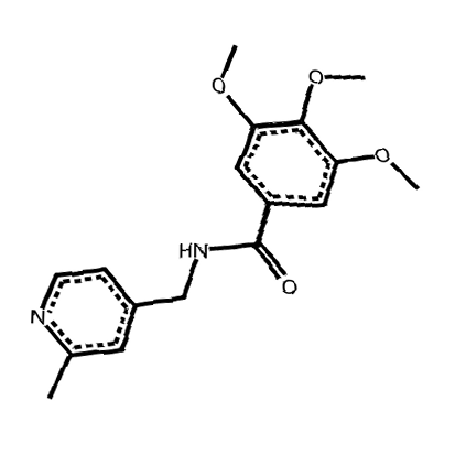 COc1cc(C(=O)NCc2ccnc(C)c2)cc(OC)c1OC